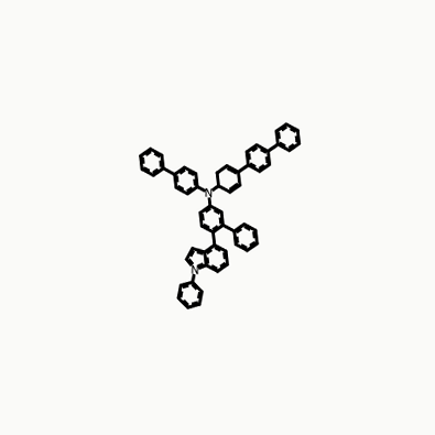 C1=CC(N(c2ccc(-c3ccccc3)cc2)c2ccc(-c3cccc4c3ccn4-c3ccccc3)c(-c3ccccc3)c2)CC=C1c1ccc(-c2ccccc2)cc1